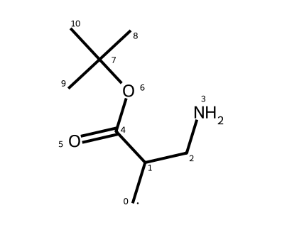 [CH2]C(CN)C(=O)OC(C)(C)C